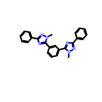 Cn1nc(-c2ccccc2)nc1-c1cccc(-c2nc(-c3ccccc3)nn2C)c1